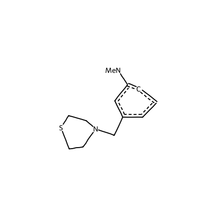 CNc1cccc(CN2CCSCC2)c1